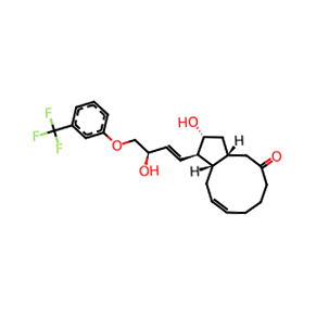 O=C1CCC/C=C\C[C@H]2[C@@H](C1)C[C@@H](O)[C@@H]2/C=C/[C@@H](O)COc1cccc(C(F)(F)F)c1